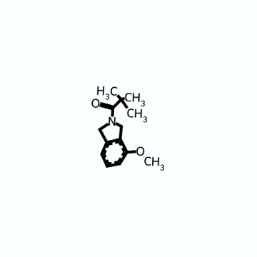 COc1cccc2c1CN(C(=O)C(C)(C)C)C2